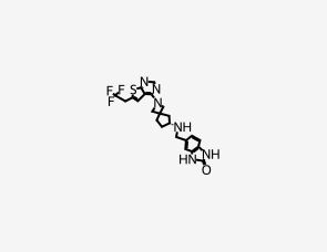 O=c1[nH]c2ccc(CN[C@@H]3CCC4(C3)CN(c3ncnc5sc(CC(F)(F)F)cc35)C4)cc2[nH]1